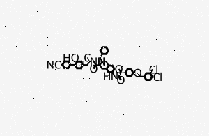 N#Cc1ccc(-c2ccc(C[C@H](NC(=O)C3Cc4cc5c(cc4CN3Cc3ccccc3)O[C@@H](c3ccc(OCc4ccc(Cl)c(Cl)c4)cc3)C(=O)N5)C(=O)O)cc2)cc1